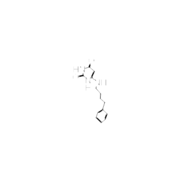 O=c1cc(NCCCCc2ccccc2)[nH]c(=O)[nH]1